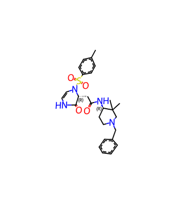 Cc1ccc(S(=O)(=O)N2C=CNC(=O)[C@H]2CC(=O)N[C@@H]2CCN(Cc3ccccc3)CC2(C)C)cc1